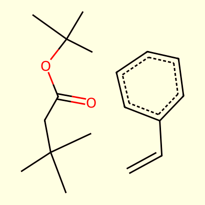 C=Cc1ccccc1.CC(C)(C)CC(=O)OC(C)(C)C